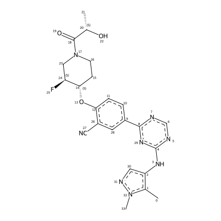 Cc1c(Nc2ncnc(-c3ccc(O[C@H]4CCN(C(=O)[C@H](C)O)C[C@@H]4F)c(C#N)c3)n2)cnn1C